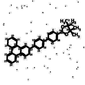 CC1(C)OB(c2ccc(-c3ccc(-c4ccc5c(c4)c4c(c6ccccc65)CCC=C4)cc3)cc2)OC1(C)C